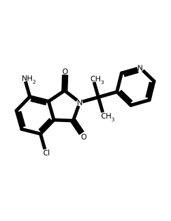 CC(C)(c1cccnc1)N1C(=O)c2c(N)ccc(Cl)c2C1=O